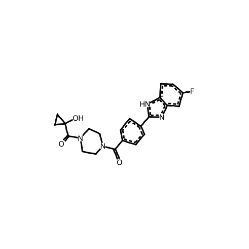 O=C(c1ccc(-c2nc3cc(F)ccc3[nH]2)cc1)N1CCN(C(=O)C2(O)CC2)CC1